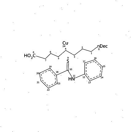 CCCCCCCCCCCCCCCCCC(=O)O.S=C(Nc1ccccc1)c1ccccc1.[Cu]